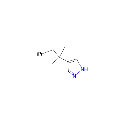 CC(C)CC(C)(C)c1cn[nH]c1